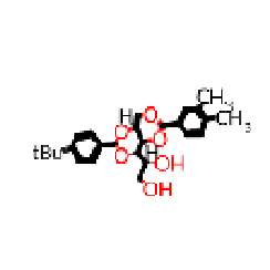 Cc1ccc(C2OC[C@@H]3OC(c4ccc(C(C)(C)C)cc4)O[C@H]([C@H](O)CO)[C@@H]3O2)cc1C